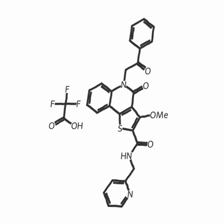 COc1c(C(=O)NCc2ccccn2)sc2c1c(=O)n(CC(=O)c1ccccc1)c1ccccc21.O=C(O)C(F)(F)F